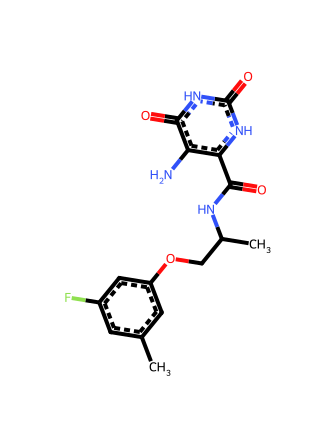 Cc1cc(F)cc(OCC(C)NC(=O)c2[nH]c(=O)[nH]c(=O)c2N)c1